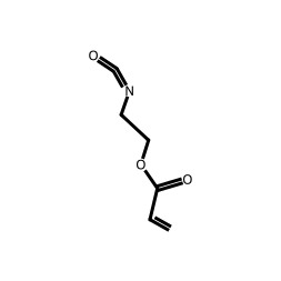 C=CC(=O)OCCN=C=O